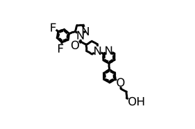 O=C(C1CCN(c2cc(-c3cccc(OCCCO)c3)ccn2)CC1)N1N=CCC1c1cc(F)cc(F)c1